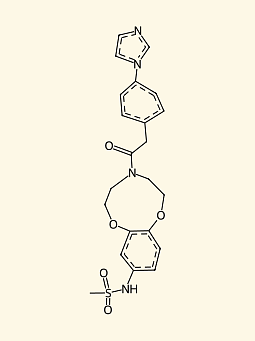 CS(=O)(=O)Nc1ccc2c(c1)OCCN(C(=O)Cc1ccc(-n3ccnc3)cc1)CCO2